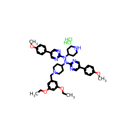 CCOc1cc(CN2CCC(N(c3ncc(-c4ccc(OC)cc4)cn3)N(c3ncc(-c4ccc(OC)cc4)cn3)C3CCNCC3)CC2)cc(OCC)c1.Cl.Cl